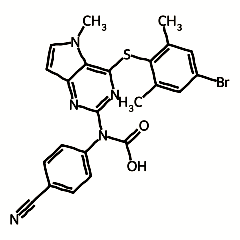 Cc1cc(Br)cc(C)c1Sc1nc(N(C(=O)O)c2ccc(C#N)cc2)nc2ccn(C)c12